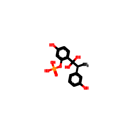 CC(c1cccc(O)c1)C(O)(O)c1ccc(O)cc1OP(=O)(O)O